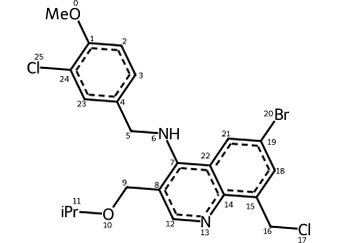 COc1ccc(CNc2c(COC(C)C)cnc3c(CCl)cc(Br)cc23)cc1Cl